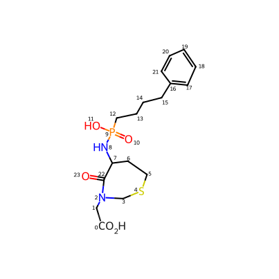 O=C(O)CN1CSCCC(NP(=O)(O)CCCCc2ccccc2)C1=O